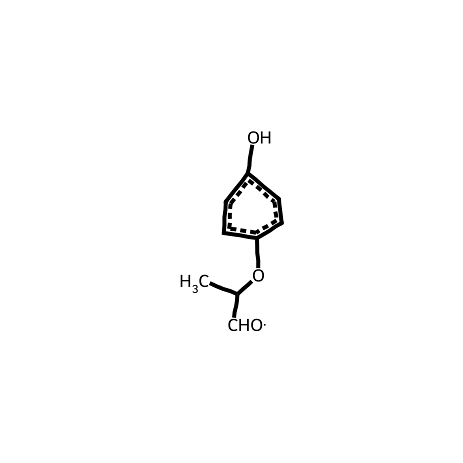 CC([C]=O)Oc1ccc(O)cc1